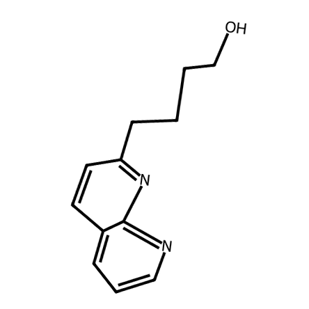 OCCCCc1ccc2cccnc2n1